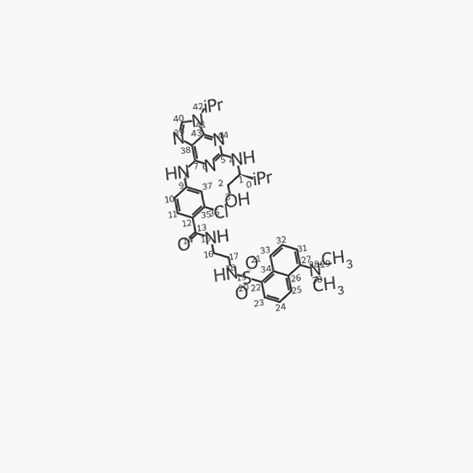 CC(C)[C@@H](CO)Nc1nc(Nc2ccc(C(=O)NCCNS(=O)(=O)c3cccc4c(N(C)C)cccc34)c(Cl)c2)c2ncn(C(C)C)c2n1